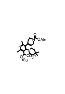 COC(=O)N1CC=C(c2c(C)nc(C)c(C(OC(C)(C)C)C(=O)O)c2N2CCC(C)(C)CC2)CC1